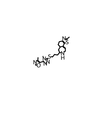 Cc1nc2c(s1)C1=CCNC(CCCSc3nnc(-c4ocnc4C)n3C)CC1CC2